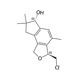 Cc1cc2c(c3c1[C@@H](CCl)OC3)CC(C)(C)[C@@H]2O